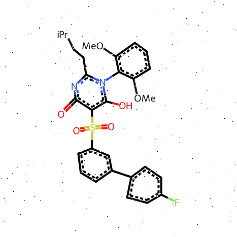 COc1cccc(OC)c1-n1c(CCC(C)C)nc(=O)c(S(=O)(=O)c2cccc(-c3ccc(F)cc3)c2)c1O